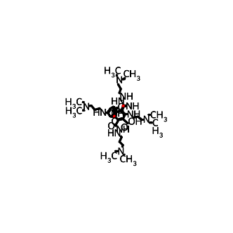 CCN(CC)CCCNNC(=N)c1c(NCCCN(CC)CC)c(C(=O)O)c(C(=O)NNCCCN(CC)CC)c2c3c(NCCCN(CC)CC)cc(c(=O)[nH]c3=O)c12